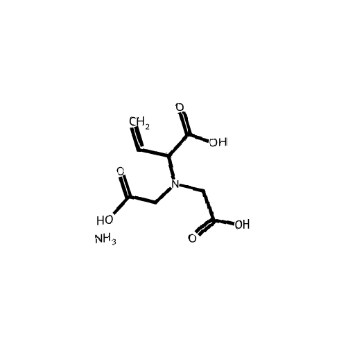 C=CC(C(=O)O)N(CC(=O)O)CC(=O)O.N